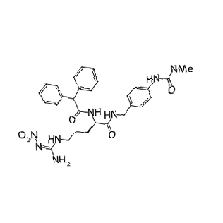 CNC(=O)Nc1ccc(CNC(=O)[C@@H](CCCN/C(N)=N\[N+](=O)[O-])NC(=O)C(c2ccccc2)c2ccccc2)cc1